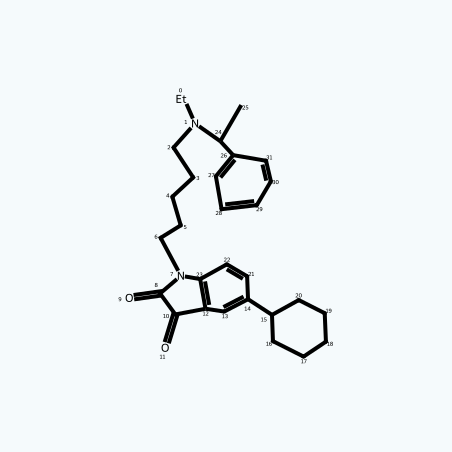 CCN(CCCCCN1C(=O)C(=O)c2cc(C3CCCCC3)ccc21)C(C)c1ccccc1